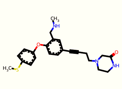 CNCc1cc(C#CCCN2CCNC(=O)C2)ccc1Oc1ccc(SC)cc1